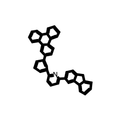 c1cc(-c2ccc3c4ccccc4c4ccccc4c3c2)cc(-c2cccc(-c3ccc4c(c3)-c3ccccc3C4)n2)c1